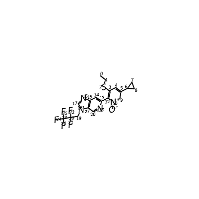 CCSc1cc(C2CC2)c[n+]([O-])c1-c1cc2ncn(CC(F)(F)C(F)(F)F)c2cn1